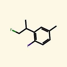 C[C](CF)c1cc(C)ccc1I